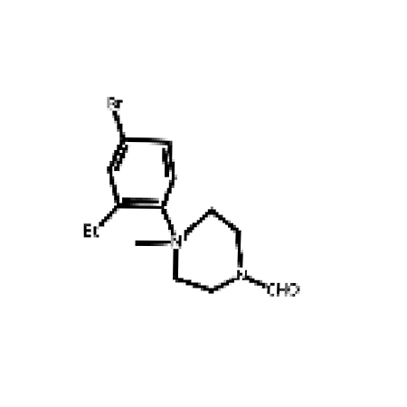 CCc1cc(Br)ccc1[N+]1(C)CCN(C=O)CC1